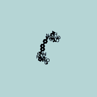 COC(=O)N[C@@H](C)C(=O)N1[C@@H]2CC[C@@H](C2)[C@H]1c1ncc(-c2ccc3cc(-c4ccc(-c5cnc([C@@H]6CC7(CC7)CN6C(=O)[C@@H](NC(=O)OC)C(C)C)[nH]5)cc4)ccc3c2)[nH]1